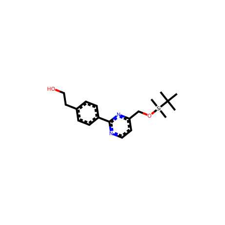 CC(C)(C)[Si](C)(C)OCc1ccnc(-c2ccc(CCO)cc2)n1